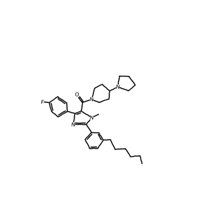 CCCCCCc1cccc(-c2nc(-c3ccc(F)cc3)c(C(=O)N3CCC(N4CCCC4)CC3)n2C)c1